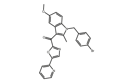 COc1ccc2c(c1)c(C(=O)c1ncc(-c3ccccn3)o1)c(C)n2Cc1ccc(Br)cc1